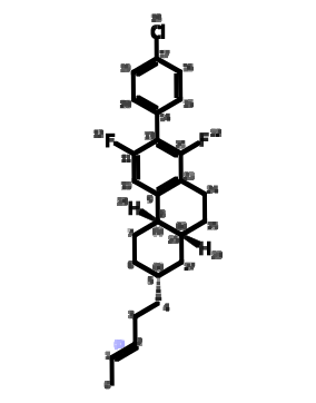 C/C=C/CC[C@@H]1CC[C@@H]2c3cc(F)c(-c4ccc(Cl)cc4)c(F)c3CC[C@@H]2C1